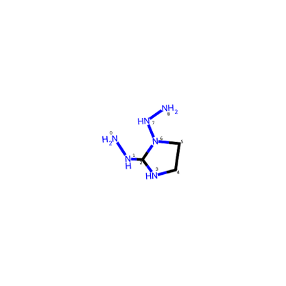 NNC1NCCN1NN